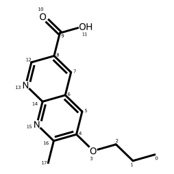 CCCOc1cc2cc(C(=O)O)cnc2nc1C